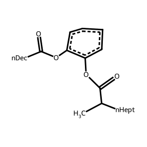 CCCCCCCCCCC(=O)Oc1ccccc1OC(=O)C(C)CCCCCCC